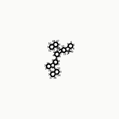 CC1(C)c2ccccc2-c2cc3c(cc21)c1cc(-c2ccc4c(c2)-c2ccccc2C4c2cccc4ccccc24)ccc1n3-c1cccc2ccccc12